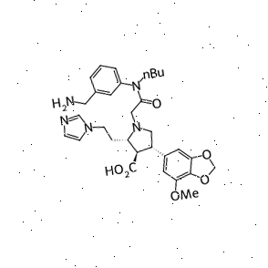 CCCCN(C(=O)CN1C[C@H](c2cc(OC)c3c(c2)OCO3)[C@@H](C(=O)O)[C@@H]1CCn1ccnc1)c1cccc(CN)c1